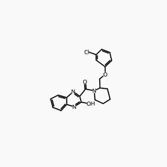 O=C(c1nc2ccccc2nc1O)N1CCCCC1COc1cccc(Cl)c1